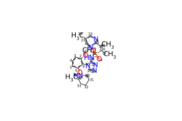 COc1cccc(OC)c1-n1c(NS(=O)(=O)C(C)C(C)c2ncc(C)cn2)nnc1[C@@H]1CCCCN1